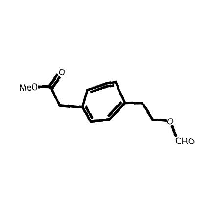 COC(=O)Cc1ccc(CCOC=O)cc1